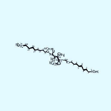 CCCCCCCCCCCCCCCCCCOC[C@@H](OCCCCCCCC)[C@@H](O)[C@H](O)[C@@H](COCCCCCCCCCCCCCCCCCC)OCCCCCCCC